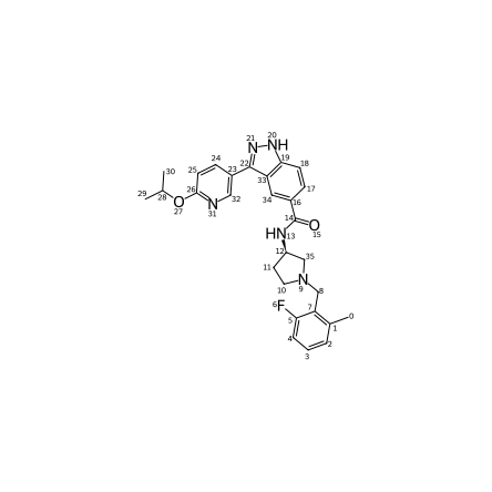 Cc1cccc(F)c1CN1CC[C@@H](NC(=O)c2ccc3[nH]nc(-c4ccc(OC(C)C)nc4)c3c2)C1